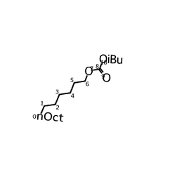 CCCCCCCCCCCCCCOC(=O)OCC(C)C